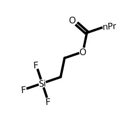 CCCC(=O)OCC[Si](F)(F)F